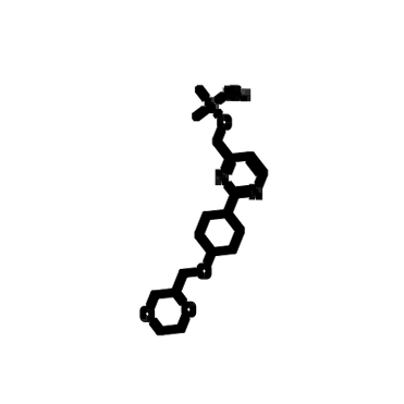 CC(C)(C)[Si](C)(C)OCc1ccnc(C2CCC(OCC3COCCO3)CC2)n1